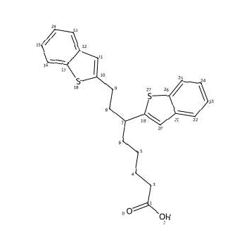 O=C(O)CCCCC(CCc1cc2ccccc2s1)c1cc2ccccc2s1